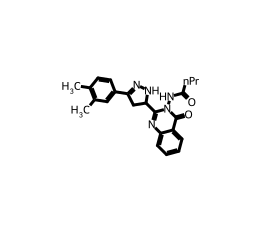 CCCC(=O)Nn1c(C2CC(c3ccc(C)c(C)c3)=NN2)nc2ccccc2c1=O